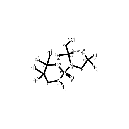 [2H]N1CC([2H])([2H])C([2H])([2H])OP1(=O)N(CC([2H])([2H])Cl)C([2H])([2H])CCl